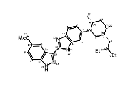 CCN(CC)C[C@@H]1CN(c2ccc3nc(-c4n[nH]c5ccc(OC)cc45)[nH]c3c2)[C@H](C)CO1